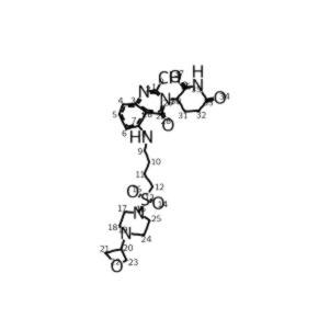 Cc1nc2cccc(NCCCCS(=O)(=O)N3CCN(C4COC4)CC3)c2c(=O)n1C1CCC(=O)NC1=O